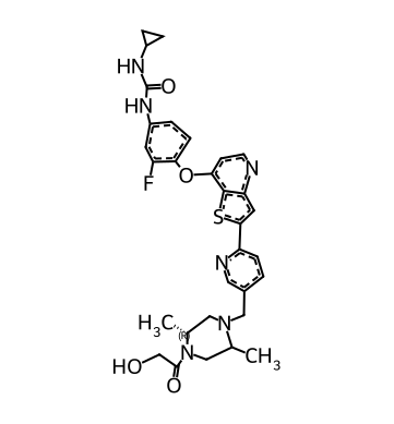 CC1CN(C(=O)CO)[C@H](C)CN1Cc1ccc(-c2cc3nccc(Oc4ccc(NC(=O)NC5CC5)cc4F)c3s2)nc1